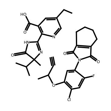 C#CC(C)Oc1cc(N2C(=O)C3=C(CCCC3)C2=O)c(F)cc1Cl.CCc1cnc(C2=NC(C)(C(C)C)C(=O)N2)c(C(=O)O)c1